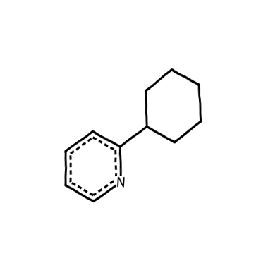 c1ccc(C2CCCCC2)nc1